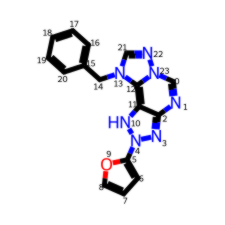 C1=NC2=NN(c3ccco3)NC2=C2N(Cc3ccccc3)C=NN12